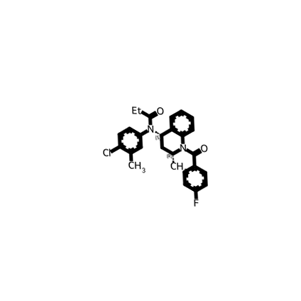 CCC(=O)N(c1ccc(Cl)c(C)c1)[C@H]1C[C@@H](C)N(C(=O)c2ccc(F)cc2)c2ccccc21